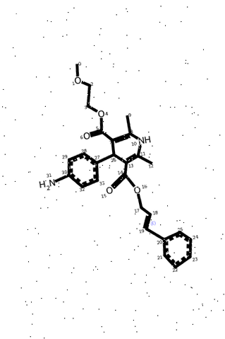 COCCOC(=O)C1=C(C)NC(C)=C(C(=O)OC/C=C/c2ccccc2)C1c1ccc(N)cc1